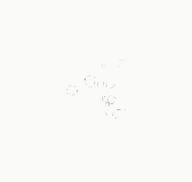 CN(C(=O)O)C(=O)c1cc(C(=O)NC(Cc2ccc(-c3ccccc3)cc2)C[C@@H](O)C(=O)O)[nH]n1